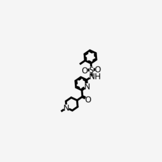 Cc1ccccc1S(=O)(=O)Nc1cccc(C(=O)C2CCN(C)CC2)n1